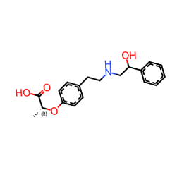 C[C@@H](Oc1ccc(CCNCC(O)c2ccccc2)cc1)C(=O)O